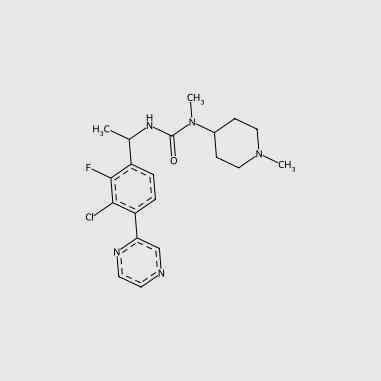 CC(NC(=O)N(C)C1CCN(C)CC1)c1ccc(-c2cnccn2)c(Cl)c1F